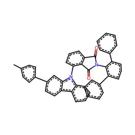 Cc1ccc(-c2ccc3c4ccccc4n(-c4cccc5c4C(=O)N(c4c(-c6ccccc6)cccc4-c4ccccc4)C5=O)c3c2)cc1